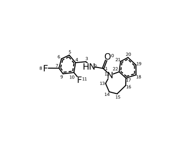 O=C(NCc1ccc(F)cc1F)N1CCCCc2ccccc21